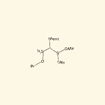 CCCCCC([SiH2]OC(C)C)[Si](OC)OC